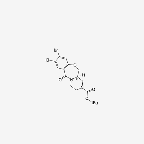 CC(C)(C)OC(=O)N1CCN2C(=O)c3cc(Cl)c(Br)cc3OC[C@H]2C1